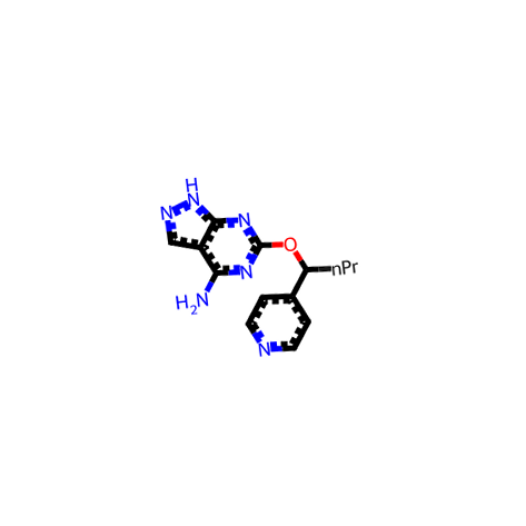 CCCC(Oc1nc(N)c2cn[nH]c2n1)c1ccncc1